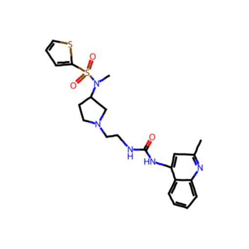 Cc1cc(NC(=O)NCCN2CCC(N(C)S(=O)(=O)c3cccs3)C2)c2ccccc2n1